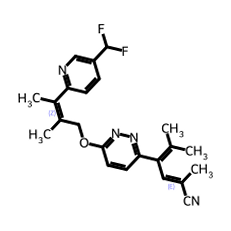 CC(C)=C(/C=C(\C)C#N)c1ccc(OC/C(C)=C(/C)c2ccc(C(F)F)cn2)nn1